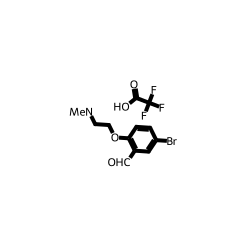 CNCCOc1ccc(Br)cc1C=O.O=C(O)C(F)(F)F